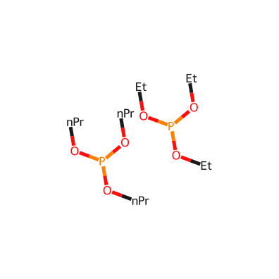 CCCOP(OCCC)OCCC.CCOP(OCC)OCC